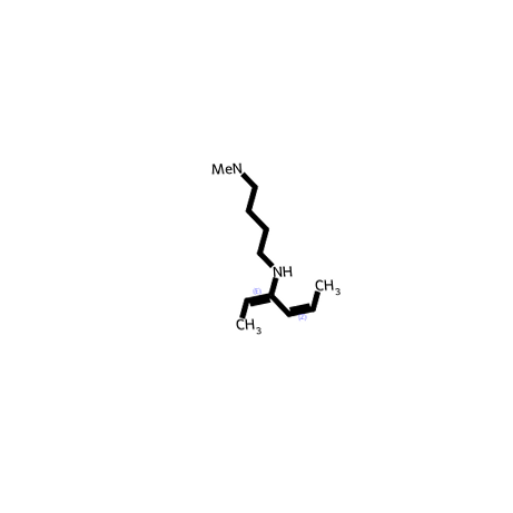 C/C=C\C(=C/C)NCCCCNC